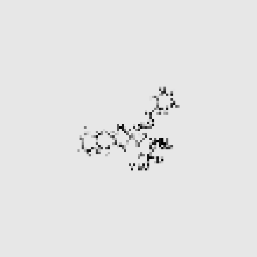 COP(=O)(CC(c1cnc2cc3ccccc3cc2n1)C(N)C(=O)OCc1ccccc1)OC